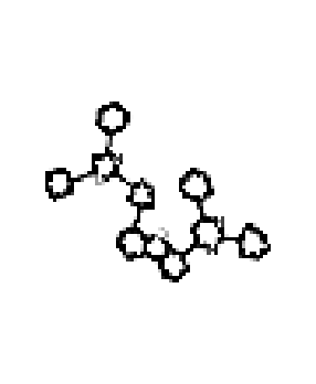 c1ccc(-c2cc(-c3ccccc3)nc(-c3cccc(-c4cccc5c4oc4c(-c6cc(-c7ccccc7)nc(-c7ccccc7)n6)cccc45)c3)n2)cc1